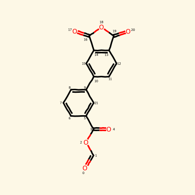 O=COC(=O)c1cccc(-c2ccc3c(c2)C(=O)OC3=O)c1